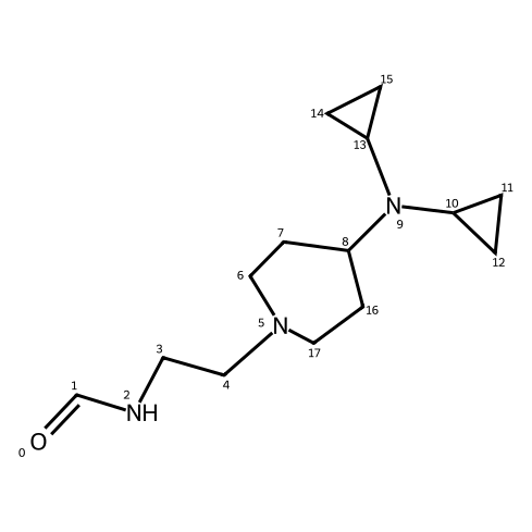 O=CNCCN1CCC(N(C2CC2)C2CC2)CC1